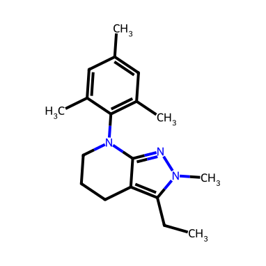 CCc1c2c(nn1C)N(c1c(C)cc(C)cc1C)CCC2